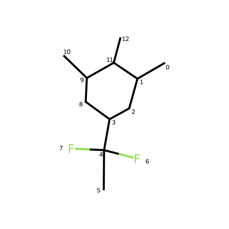 CC1CC(C(C)(F)F)CC(C)C1C